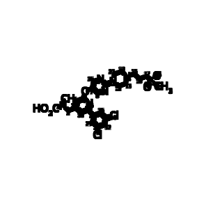 CN(Cc1cc(Oc2cnc(N3CCN(CCCS(C)(=O)=O)CC3)nc2)nc(-c2cc(Cl)cc(Cl)c2)c1)C(=O)O